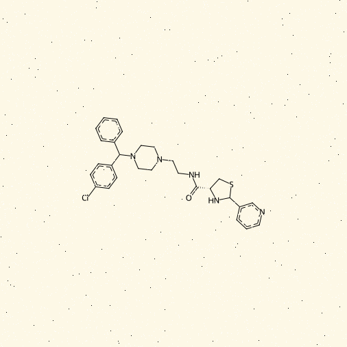 O=C(NCCN1CCN(C(c2ccccc2)c2ccc(Cl)cc2)CC1)[C@@H]1CSC(c2cccnc2)N1